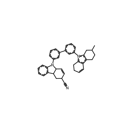 CC1CCc2c3c(n(-c4cccc(-c5cccc(N6c7ccccc7C7CC(C#N)C=CC76)c5)c4)c2C1)CCC=C3